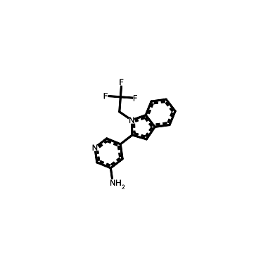 Nc1cncc(-c2cc3ccccc3n2CC(F)(F)F)c1